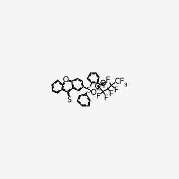 O=S(=O)(OS(c1ccccc1)(c1ccccc1)c1ccc2oc3ccccc3c(=S)c2c1)C(F)(F)C(F)(F)C(F)(F)C(F)(F)F